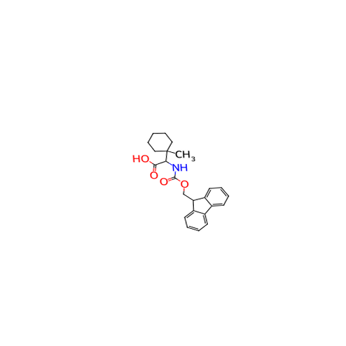 CC1(C(NC(=O)OCC2c3ccccc3-c3ccccc32)C(=O)O)CCCCC1